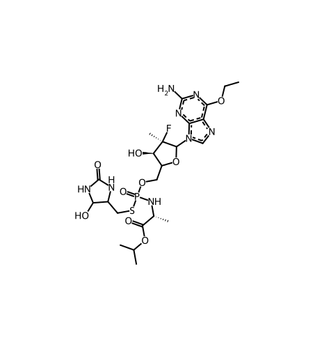 CCOc1nc(N)nc2c1ncn2C1OC(COP(=O)(N[C@H](C)C(=O)OC(C)C)SCC2NC(=O)NC2O)[C@@H](O)[C@@]1(C)F